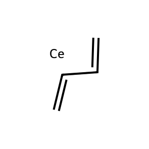 C=CC=C.[Ce]